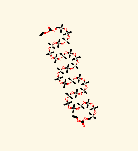 C=COC(=O)OC[Si](C)(C)O[Si](C)(C)O[Si](C)(C)O[Si](C)(C)O[Si](C)(C)O[Si](C)(C)O[Si](C)(C)O[Si](C)(C)O[Si](C)(C)O[Si](C)(C)O[Si](C)(C)O[Si](C)(C)O[Si](C)(C)O[Si](C)(C)O[Si](C)(C)O[Si](C)(C)O[Si](C)(C)O[Si](C)(C)O[Si](C)(C)O[Si](C)(C)O[Si](C)(C)O[Si](C)(C)O[Si](C)(C)O[Si](C)(C)O[Si](C)(C)O[Si](C)(C)O[Si](C)(C)COC(=O)OC=C